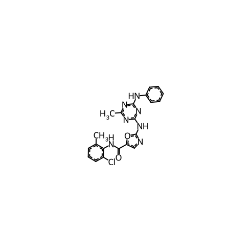 Cc1nc(Nc2ccccc2)nc(Nc2ncc(C(=O)Nc3c(C)cccc3Cl)o2)n1